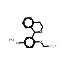 CCOC(=O)COc1ccc(Cl)cc1C1NCCc2ccccc21.Cl